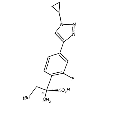 CC(C)(C)C[C@](N)(C(=O)O)c1ccc(-c2cn(C3CC3)nn2)cc1F